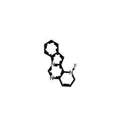 FN1CC=Cc2ncn3c(cc4ccccc43)c21